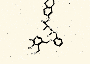 Cc1ncc(COc2ccccc2O/[P+]([O-])=N/C(C)C(=O)Oc2ccc3c(c2)CCCC3)c(CN)c1O